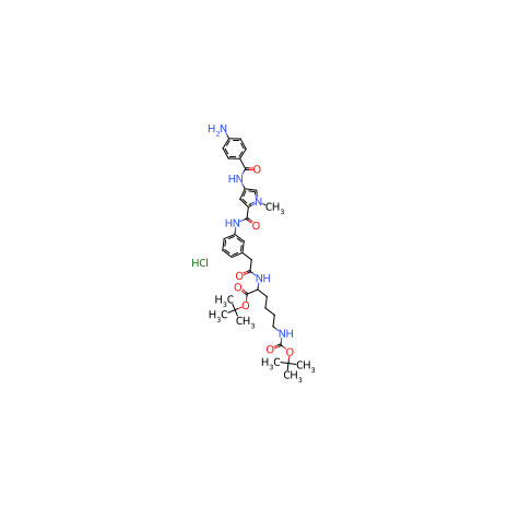 Cl.Cn1cc(NC(=O)c2ccc(N)cc2)cc1C(=O)Nc1cccc(CC(=O)NC(CCCCNC(=O)OC(C)(C)C)C(=O)OC(C)(C)C)c1